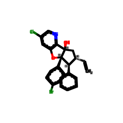 C=C[C@H]1C[C@@]2(O)c3ncc(Cl)cc3O[C@@]2(c2ccc(Br)cc2)[C@@H]1c1ccccc1